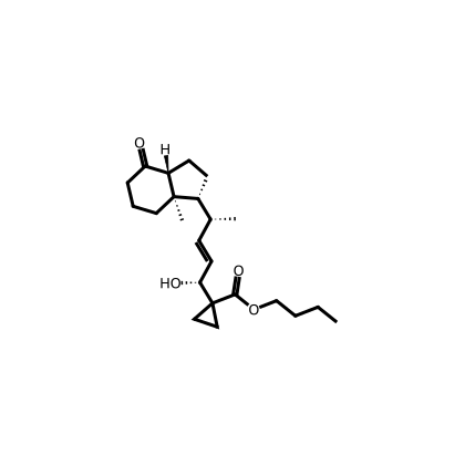 CCCCOC(=O)C1([C@H](O)/C=C/[C@@H](C)[C@H]2CC[C@H]3C(=O)CCC[C@]23C)CC1